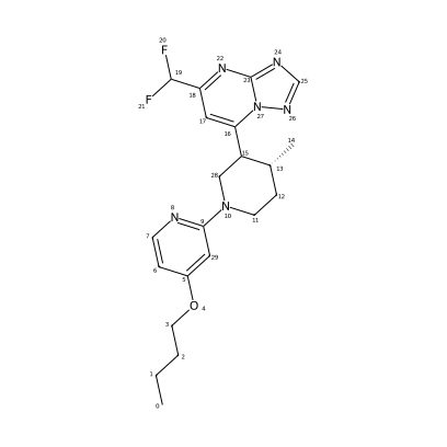 CCCCOc1ccnc(N2CC[C@@H](C)C(c3cc(C(F)F)nc4ncnn34)C2)c1